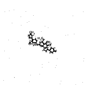 CCc1nc(Nc2ccc(-n3cnc(C)c3)c(OC)c2)nc2c1N(C)C(=O)C1C(c3ccc(F)cc3)CCN21